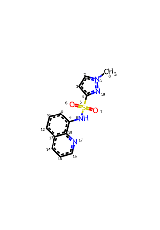 Cn1ccc(S(=O)(=O)Nc2cccc3cccnc23)n1